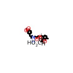 Cc1ccc([C@@H](C)OCC(O)CNC(C)(C)Cc2ccc3c(c2)OCO3)c2c1O[C@@H]1[C@@H](C(=O)O)[C@H]21